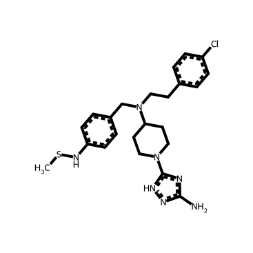 CSNc1ccc(CN(CCc2ccc(Cl)cc2)C2CCN(c3nc(N)n[nH]3)CC2)cc1